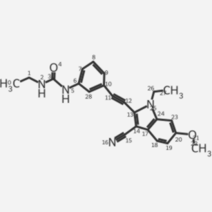 CCNC(=O)Nc1cccc(C#Cc2c(C#N)c3ccc(OC)cc3n2CC)c1